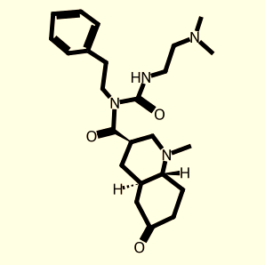 CN(C)CCNC(=O)N(CCc1ccccc1)C(=O)[C@@H]1C[C@@H]2CC(=O)CC[C@H]2N(C)C1